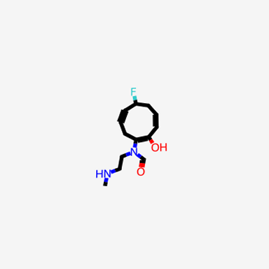 CNCCN(C=O)/C1=C(O)/C=C\CC(F)C#CC1